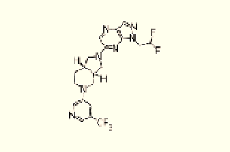 FC(F)Cn1ncc2ncc(N3C[C@H]4CCN(c5cncc(C(F)(F)F)c5)C[C@H]4C3)nc21